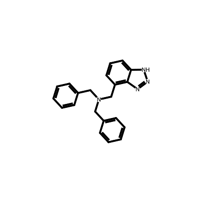 c1ccc(CN(Cc2ccccc2)Cc2cccc3[nH]nnc23)cc1